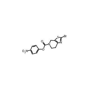 O=C(Oc1ccc([N+](=O)[O-])cc1)N1CCc2nc(Br)sc2C1